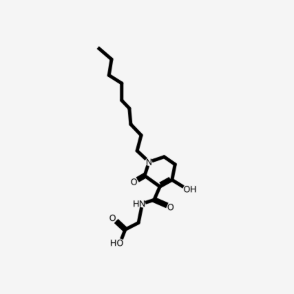 CCCCCCCCCN1CCC(O)=C(C(=O)NCC(=O)O)C1=O